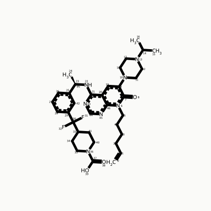 C=CCCCCn1c(=O)c(N2CCN(C(C)C)CC2)cc2c(N[C@H](C)c3cccc(C(F)(F)C4CCN(C(=O)O)CC4)c3)ncnc21